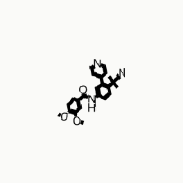 COc1ccc(C(=O)Nc2ccc(C(C)(C)C#N)c(-c3ccncc3)c2)cc1OC